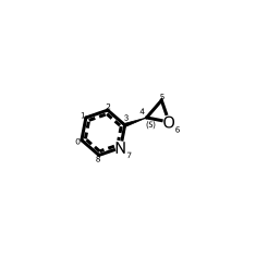 c1ccc([C@H]2CO2)nc1